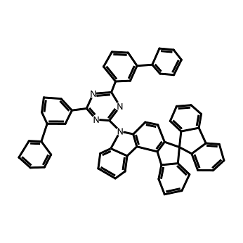 c1ccc(-c2cccc(-c3nc(-c4cccc(-c5ccccc5)c4)nc(-n4c5ccccc5c5c6c(ccc54)C4(c5ccccc5-c5ccccc54)c4ccccc4-6)n3)c2)cc1